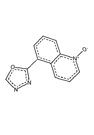 [O-][n+]1cccc2c(-c3nnco3)cccc21